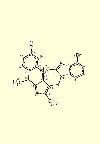 CC1=Cc2c(Br)cccc2C1CC1=C(C)C=C2C1=Cc1nc(Br)ccc1C2C